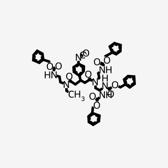 CCN(CCNC(=O)OCc1ccccc1)C(=O)CC(CC(=O)N(CCNC(=O)OCc1ccccc1)CC(NC(=O)OCc1ccccc1)NC(=O)OCc1ccccc1)c1ccc(N=C=O)cc1